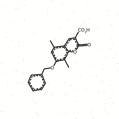 Cc1cc(OCc2ccccc2)c(C)c2oc(=O)c(C(=O)O)cc12